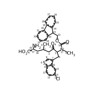 CC(CC(=O)C(Cc1csc2ccc(Cl)cc12)N(C)C(=O)OCC1c2ccccc2-c2ccccc21)C[C@H](N)C(=O)O